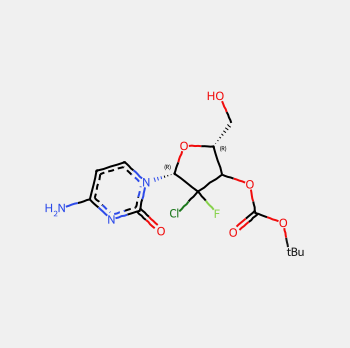 CC(C)(C)OC(=O)OC1[C@@H](CO)O[C@@H](n2ccc(N)nc2=O)C1(F)Cl